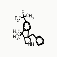 CC1(C)c2cc(C(C)(F)C(F)(F)F)ccc2C2(Cc3ccccc3)CNCC12